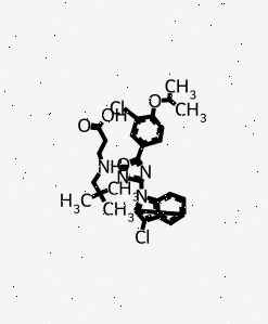 CC(C)(C)CNCCC(=O)O.CC(C)Oc1ccc(-c2nc(-n3c4c(Cl)c5cc-4ccc53)no2)cc1Cl